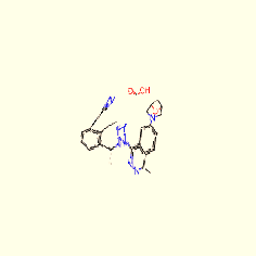 Cc1c(C#N)cccc1[C@@H](C)Nc1nnc(C)c2ccc(N3CC4CC(C3)O4)cc12.O=CO